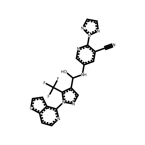 N#Cc1cc(NC(O)c2cnn(-c3nccc4sccc34)c2C(F)(F)F)cnc1-n1nccn1